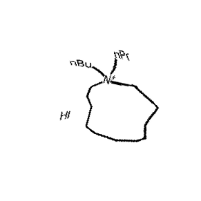 CCCC[N+]1(CCC)CCCCCC1.I